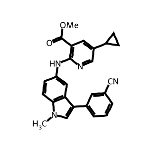 COC(=O)c1cc(C2CC2)cnc1Nc1ccc2c(c1)c(-c1cccc(C#N)c1)cn2C